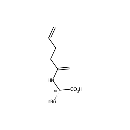 C=CCCC(=C)N[C@@H](CCCC)C(=O)O